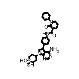 Nc1ncnc2c1c(-c1ccc(NC(=O)c3cccn(-c4ccccc4)c3=O)cc1)cn2C1CCS(O)(O)CC1